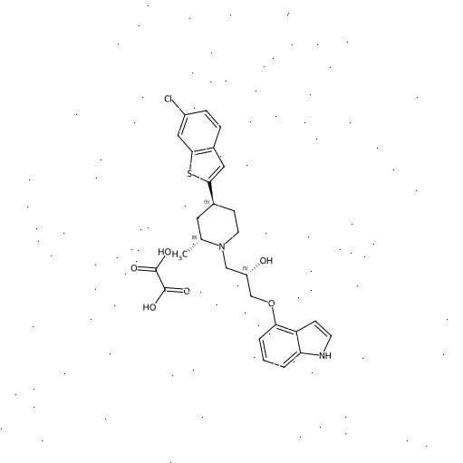 C[C@@H]1C[C@@H](c2cc3ccc(Cl)cc3s2)CCN1C[C@H](O)COc1cccc2[nH]ccc12.O=C(O)C(=O)O